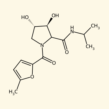 Cc1ccc(C(=O)N2C[C@H](O)[C@@H](O)C2C(=O)NC(C)C)o1